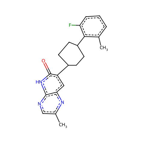 Cc1cnc2[nH]c(=O)c(C3CCC(c4c(C)cccc4F)CC3)cc2n1